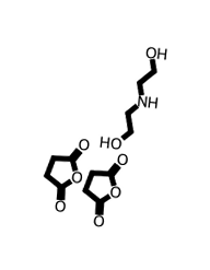 O=C1CCC(=O)O1.O=C1CCC(=O)O1.OCCNCCO